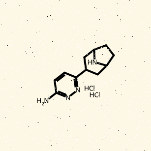 Cl.Cl.Nc1ccc(C2CC3CCC(C2)N3)nn1